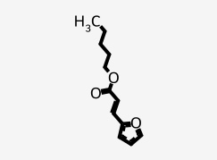 CCCCCOC(=O)C=Cc1ccco1